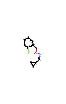 Fc1ccccc1CO/N=[C]\C1CC1